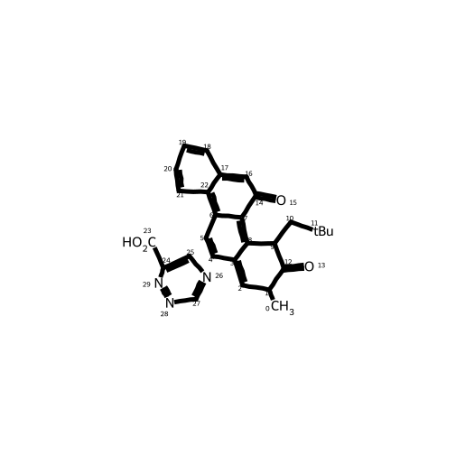 CC1C=c2ccc3c(c2C(CC(C)(C)C)C1=O)C(=O)C=c1ccccc1=3.O=C(O)c1cncnn1